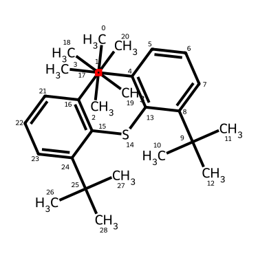 CC(C)(C)c1cccc(C(C)(C)C)c1Sc1c(C(C)(C)C)cccc1C(C)(C)C